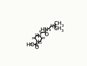 CN(C)CCNC(=O)CN1CCN(C(=O)O)CC1